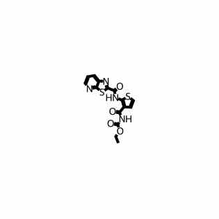 CCOC(=O)NC(=O)c1ccsc1NC(=O)c1nc2cccnc2s1